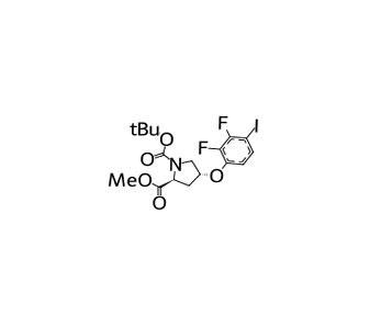 COC(=O)[C@@H]1C[C@@H](Oc2ccc(I)c(F)c2F)CN1C(=O)OC(C)(C)C